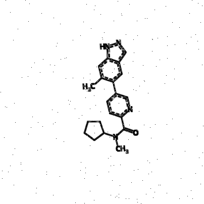 Cc1cc2[nH]ncc2cc1-c1ccc(C(=O)N(C)C2CCCC2)nc1